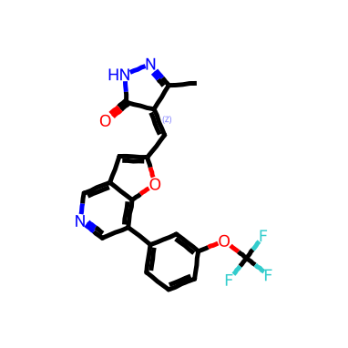 CC1=NNC(=O)/C1=C\c1cc2cncc(-c3cccc(OC(F)(F)F)c3)c2o1